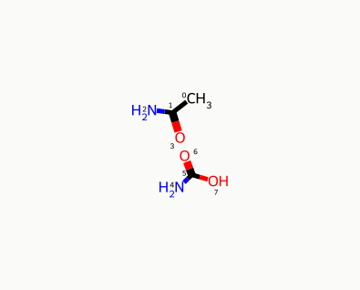 CC(N)=O.NC(=O)O